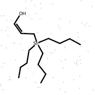 CCC[CH2][Sn]([CH2]/C=C\O)([CH2]CCC)[CH2]CCC